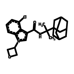 CC(C)(NC(=O)c1cn(C2COC2)c2cccc(Cl)c12)C12CC3CC(CC(C3)C1)C2